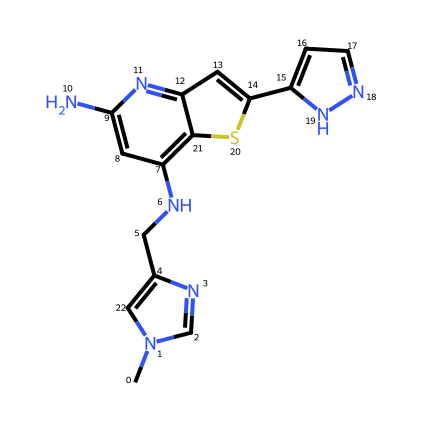 Cn1cnc(CNc2cc(N)nc3cc(-c4ccn[nH]4)sc23)c1